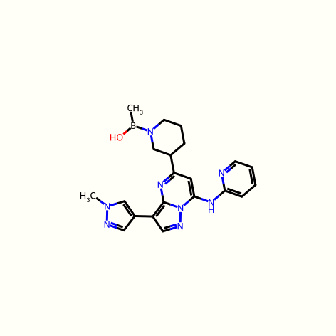 CB(O)N1CCCC(c2cc(Nc3ccccn3)n3ncc(-c4cnn(C)c4)c3n2)C1